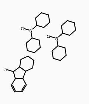 ClN(C1CCCCC1)C1CCCCC1.ClN(C1CCCCC1)C1CCCCC1.[Ti][CH]1C2C=CC=CC2C2CCCCC12